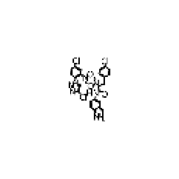 Cn1cc2cc(NC(=O)C(Cc3ccc(Cl)cc3)N3CON(c4cc(Cl)ccc4-n4cc(Cl)nn4)CO3)ccc2n1